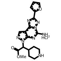 COC(=O)C(C1CCNCC1)n1ncc2c1nc(N)n1nc(-c3ccco3)nc21.Cl